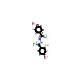 Fc1cc(Br)ccc1C(Cl)=NN=C(Cl)c1ccc(Br)cc1